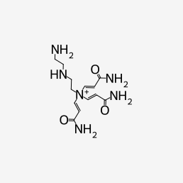 NCCNCC[N+](C=CC(N)=O)(C=CC(N)=O)C=CC(N)=O